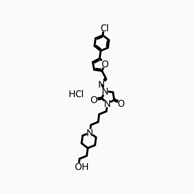 Cl.O=C1CN(/N=C/c2ccc(-c3ccc(Cl)cc3)o2)C(=O)N1CCCCN1CCC(CCO)CC1